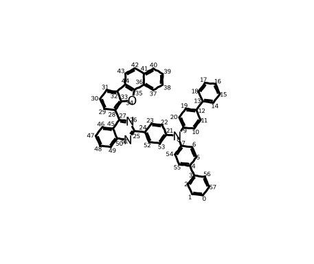 c1ccc(-c2ccc(N(c3ccc(-c4ccccc4)cc3)c3ccc(-c4nc(-c5cccc6c5oc5c7ccccc7ccc65)c5ccccc5n4)cc3)cc2)cc1